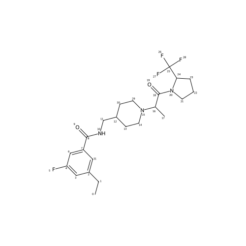 CCc1cc(F)cc(C(=O)NCC2CCN(C(C)C(=O)N3CCCC3C(F)(F)F)CC2)c1